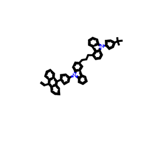 C=Cc1c2ccccc2c(-c2ccc(-n3c4ccccc4c4cc(CCCc5cccc6c5c5ccccc5n6-c5ccc(C(C)(C)C)cc5)ccc43)cc2)c2ccccc12